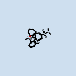 CN(c1cccc(F)c1C1(S(N)(=O)=O)C=CC(S(=O)(=O)N(C)C)=CC1)C1CCCCC1